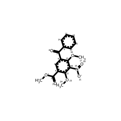 COC(=O)c1cc(C(=O)c2ccccc2)c(OC)c([N+](=O)[O-])c1OC